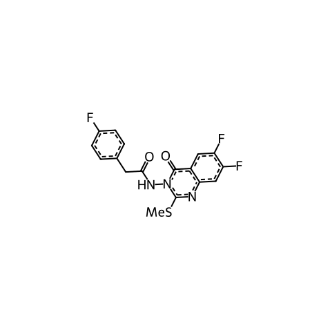 CSc1nc2cc(F)c(F)cc2c(=O)n1NC(=O)Cc1ccc(F)cc1